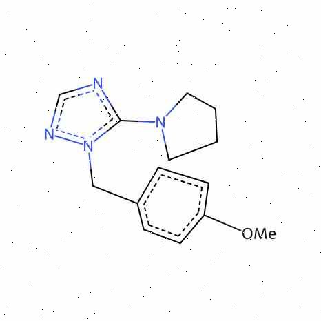 COc1ccc(Cn2ncnc2N2CCCC2)cc1